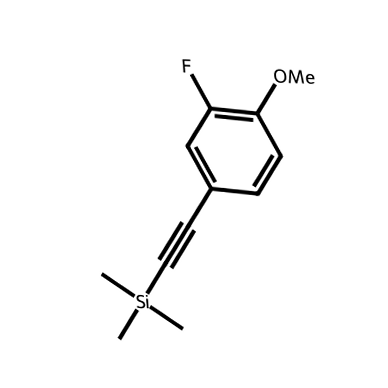 COc1ccc(C#C[Si](C)(C)C)cc1F